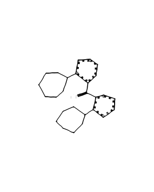 O=C(c1ccccc1C1CCCCCC1)c1ccccc1C1CCCCCC1